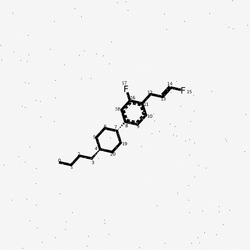 CCCC[C@H]1CC[C@H](c2ccc(CC=CF)c(F)c2)CC1